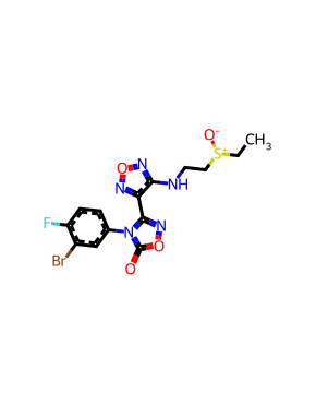 CC[S+]([O-])CCNc1nonc1-c1noc(=O)n1-c1ccc(F)c(Br)c1